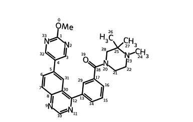 COc1ncc(-c2ccc3ncnc(-c4cccc(C(=O)N5CCN(C)C(C)(C)C5)c4)c3c2)cn1